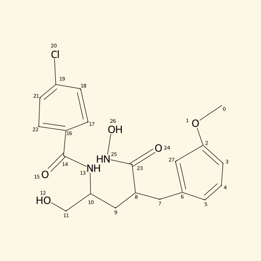 COc1cccc(CC(CC(CO)NC(=O)c2ccc(Cl)cc2)C(=O)NO)c1